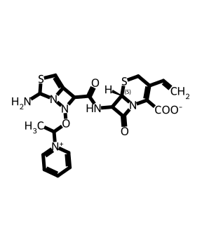 C=CC1=C(C(=O)[O-])N2C(=O)C(NC(=O)C3C4=CSC(N)N4N3OC(C)[n+]3ccccc3)[C@@H]2SC1